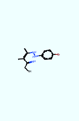 CC(NNc1ccc(Br)cc1)=C(C)C(=N)CC(C)C